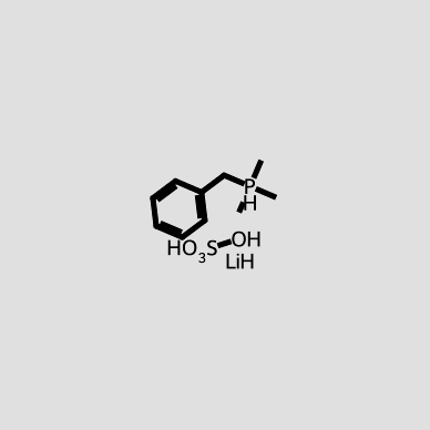 C[PH](C)(C)Cc1ccccc1.O=S(=O)(O)O.[LiH]